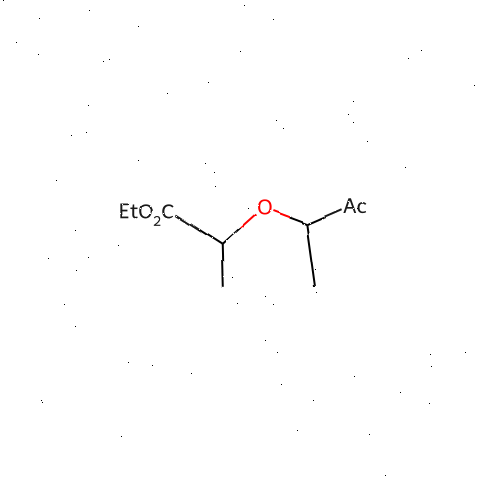 CCOC(=O)C(C)OC(C)C(C)=O